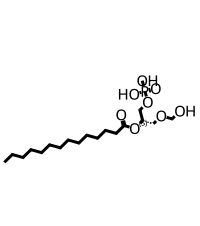 CCCCCCCCCCCCCC(=O)O[C@@H](COCO)COP(=O)(O)O